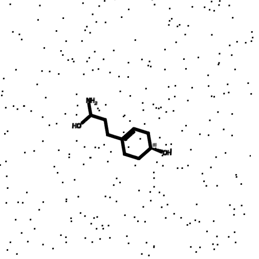 NC(O)CCC1=CC[C@@H](O)CC1